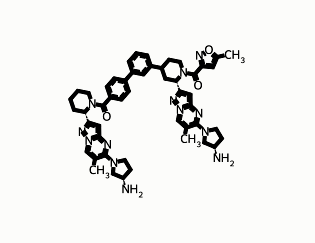 Cc1cc(C(=O)N2CCC(c3cccc(-c4ccc(C(=O)N5CCCC[C@H]5c5cc6nc(N7CC[C@H](N)C7)c(C)cn6n5)cc4)c3)C[C@H]2c2cc3nc(N4CC[C@H](N)C4)c(C)cn3n2)no1